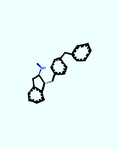 CN[C@@H]1Cc2ccccc2[C@H]1Cc1ccc(Cc2ccccc2)cc1